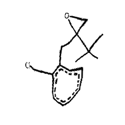 CC(C)(C)C1(Cc2ccccc2Cl)CO1